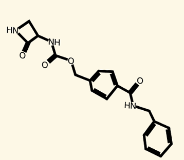 O=C(NC1CNC1=O)OCc1ccc(C(=O)NCc2ccccc2)cc1